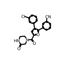 N#Cc1cccc(-c2oc(C(=O)N3CCNC(=O)C3)cc2-c2cccc(Cl)c2)c1